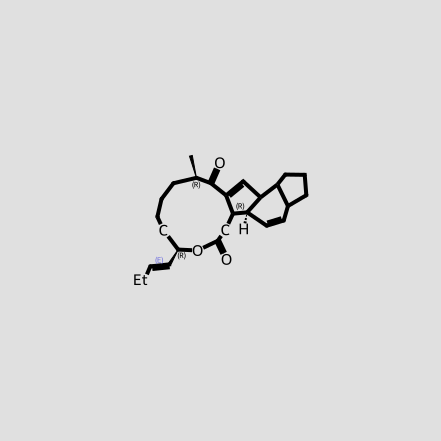 CC/C=C/[C@H]1CCCC[C@@H](C)C(=O)C2=CC3C4CCCC4C=C[C@H]3C2CC(=O)O1